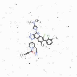 CC#CC(=O)N1CC[C@H](n2nnc3c(N4CC(N(C)C)C4)nc4c(F)c(-c5cccc(C)c5Cl)c(C)cc4c32)C[C@H]1CC#N